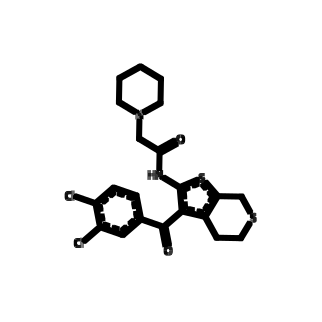 O=C(CN1CCCCC1)Nc1sc2c(c1C(=O)c1ccc(Cl)c(Cl)c1)CCSC2